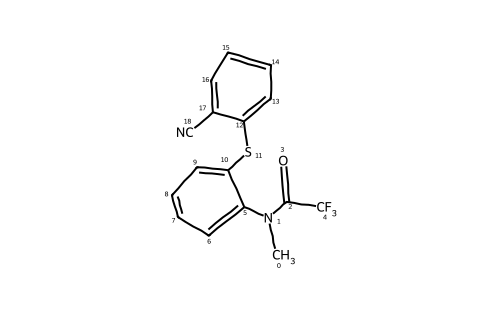 CN(C(=O)C(F)(F)F)c1ccccc1Sc1ccccc1C#N